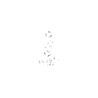 Cc1cc2c(cc1C(=O)N1CCCC(c3ccccc3)C1)[nH]c(=O)c1nnc(-c3sccc3C)n12